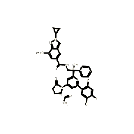 COc1cc(C(=O)NC[C@@](O)(c2ccccc2)c2cc(N3C(=O)CC[C@H]3C(N)=O)cc(-c3cc(Cl)c(F)cc3F)n2)cc2cn(C3CC3)nc12